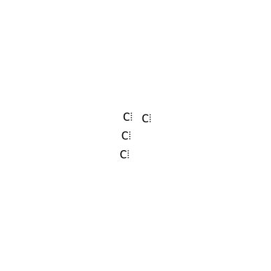 [C].[C].[C].[C]